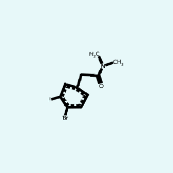 CN(C)C(=O)Cc1ccc(Br)c(F)c1